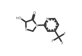 O=C1C(O)SCN1c1cc(C(F)(F)F)ccn1